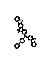 CC1(C)c2cc(N(c3ccc(-c4ccccc4)cc3)c3ccc4oc5ccccc5c4c3)ccc2-c2cc3oc4ccccc4c3cc21